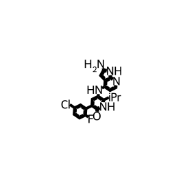 CC(C)c1[nH]c(=O)c(-c2cc(Cl)ccc2F)cc1Nc1ccnc2[nH]c(N)cc12